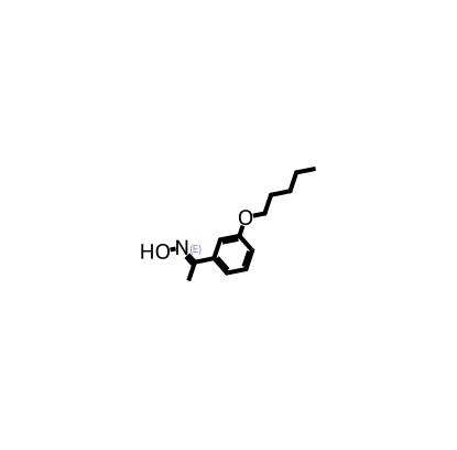 CCCCCOc1cccc(/C(C)=N/O)c1